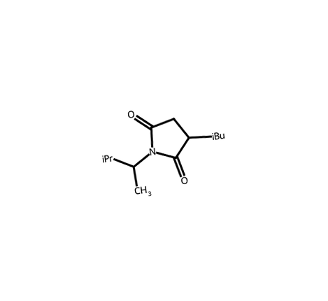 CCC(C)C1CC(=O)N(C(C)C(C)C)C1=O